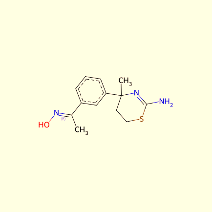 C/C(=N\O)c1cccc(C2(C)CCSC(N)=N2)c1